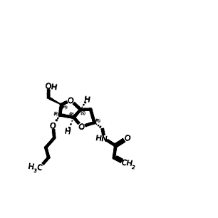 C=CC(=O)NC[C@H]1C[C@@H]2O[C@H](CO)[C@@H](OCCCC)[C@@H]2O1